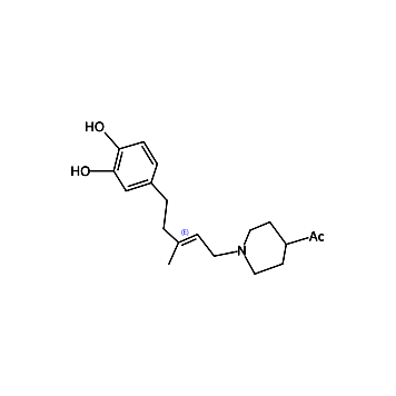 CC(=O)C1CCN(C/C=C(\C)CCc2ccc(O)c(O)c2)CC1